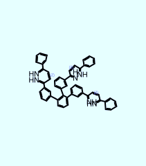 N=C(/C=C\C(=N)c1cccc(-c2cccc(-c3cccc(C(=N)/C=C\C(=N)c4ccccc4)c3)c2-c2cccc(C(=N)/C=C\C(=N)c3ccccc3)c2)c1)c1ccccc1